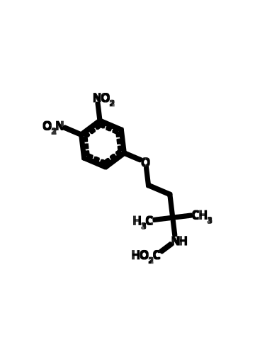 CC(C)(CCOc1ccc([N+](=O)[O-])c([N+](=O)[O-])c1)NC(=O)O